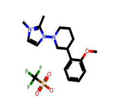 COc1ccccc1C1CCCN(n2cc[n+](C)c2C)C1.O=S(=O)([O-])C(F)(F)F